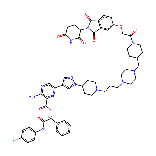 Nc1ncc(-c2cnn(C3CCN(CCCN4CCN(CC5CCN(C(=O)COc6ccc7c(c6)C(=O)N(C6CCC(=O)NC6=O)C7=O)CC5)CC4)CC3)c2)nc1C(=O)O[C@@H](C(=O)Nc1ccc(F)cc1)c1ccccc1